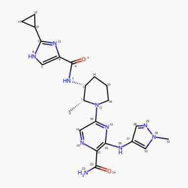 C[C@@H]1[C@H](NC(=O)c2c[nH]c(C3CC3)n2)CCCN1c1cnc(C(N)=O)c(Nc2cnn(C)c2)n1